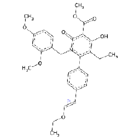 CCO/C=C/c1ccc(-c2c(CC)c(O)c(C(=O)OC)c(=O)n2Cc2ccc(OC)cc2OC)cc1